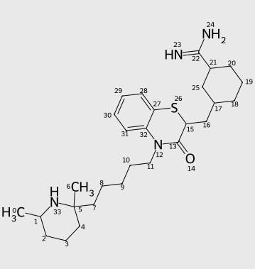 CC1CCCC(C)(CCCCCN2C(=O)C(CC3CCCC(C(=N)N)C3)Sc3ccccc32)N1